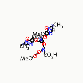 C/C=C1\CC2C=Nc3cc(OCc4cc(OCCN(CCOCCOCCOC)CCC(=O)O)cc(COc5cc6c(cc5OC)C(=O)N5C/C(=C/C)C[C@H]5C=N6)n4)c(OC)cc3C(=O)N2C1